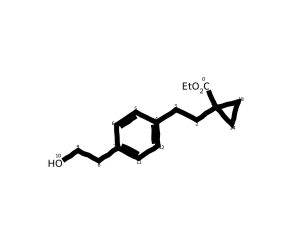 CCOC(=O)C1(CCc2ccc(CCO)cc2)CC1